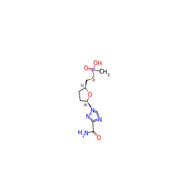 CP(=O)(O)SC[C@@H]1CC[C@H](n2cnc(C(N)=O)n2)O1